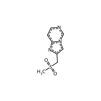 CS(=O)(=O)Cc1cn2cnccc2n1